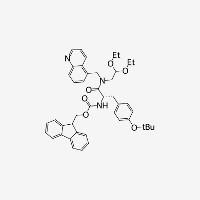 CCOC(CN(Cc1cccc2ncccc12)C(=O)[C@H](Cc1ccc(OC(C)(C)C)cc1)NC(=O)OCC1c2ccccc2-c2ccccc21)OCC